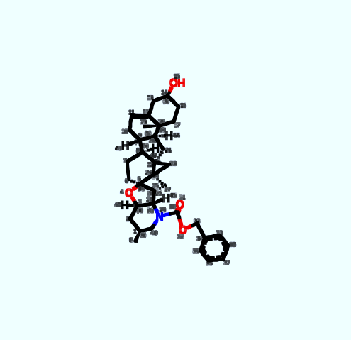 C[C@H]1C[C@H]2O[C@]3(CC[C@H]4[C@@H]5CC=C6C[C@@H](O)CC[C@]6(C)[C@H]5C[C@@]45C[C@]53C)[C@H](C)[C@@H]2N(C(=O)OCc2ccccc2)C1